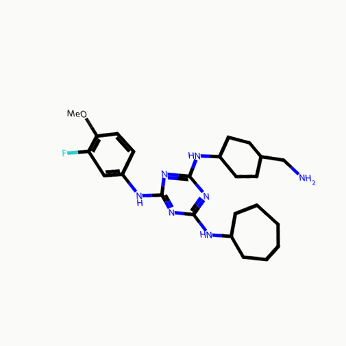 COc1ccc(Nc2nc(NC3CCCCCC3)nc(NC3CCC(CN)CC3)n2)cc1F